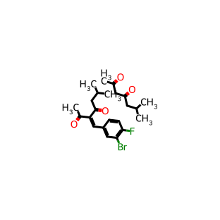 CC(=O)C(=Cc1ccc(F)c(Br)c1)C(=O)CC(C)C.CC(=O)CC(=O)CC(C)C